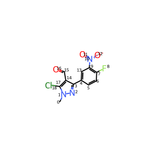 Cn1nc(-c2ccc(F)c([N+](=O)[O-])c2)c(C=O)c1Cl